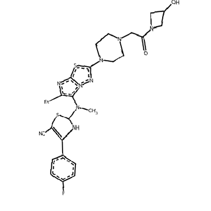 CCc1nc2sc(N3CCN(CC(=O)N4CC(O)C4)CC3)nn2c1N(C)C1NC(c2ccc(F)cc2)=C(C#N)S1